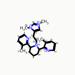 Cc1cccnc1C1CCCC(c2ncccc2C)N1CCc1c[n+](C)cn1C